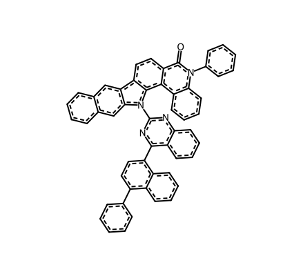 O=c1c2ccc3c4cc5ccccc5cc4n(-c4nc(-c5ccc(-c6ccccc6)c6ccccc56)c5ccccc5n4)c3c2c2ccccc2n1-c1ccccc1